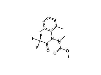 COC(=O)N(C)N(C(=O)C(F)(F)F)c1c(C)cccc1C